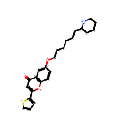 O=c1cc(-c2cccs2)oc2ccc(OCCCCCCC3CCCCN3)cc12